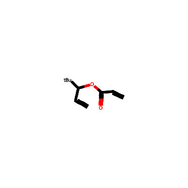 C=CC(=O)OC(C=C)C(C)(C)C